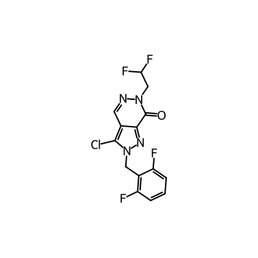 O=c1c2nn(Cc3c(F)cccc3F)c(Cl)c2cnn1CC(F)F